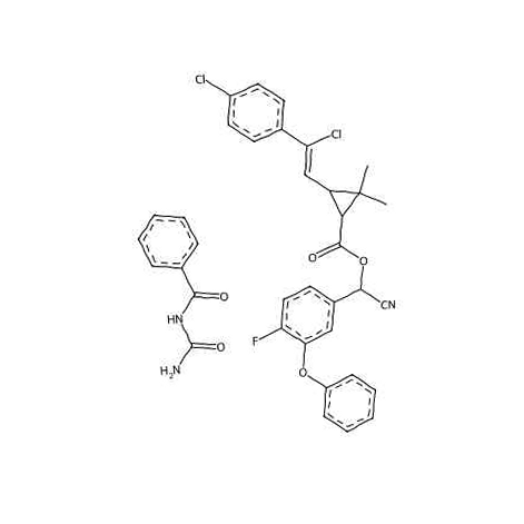 CC1(C)C(C=C(Cl)c2ccc(Cl)cc2)C1C(=O)OC(C#N)c1ccc(F)c(Oc2ccccc2)c1.NC(=O)NC(=O)c1ccccc1